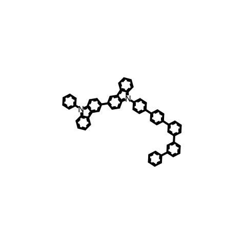 c1ccc(-c2cccc(-c3cccc(-c4ccc(-c5ccc(-n6c7ccccc7c7cc(-c8ccc9c(c8)c8ccccc8n9-c8ccccc8)ccc76)cc5)cc4)c3)c2)cc1